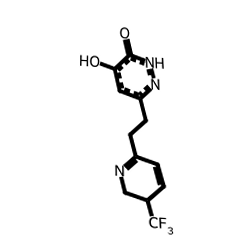 O=c1[nH]nc(CCC2=NCC(C(F)(F)F)C=C2)cc1O